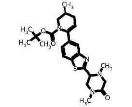 C[C@H]1CC=C(c2ccc3sc(C4CN(C)C(=O)CN4C)nc3c2)N(C(=O)OC(C)(C)C)C1